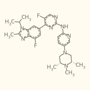 Cc1nc2c(F)cc(-c3nc(Nc4ccc(N5C[C@@H](C)N(C)[C@@H](C)C5)cn4)ncc3F)cc2n1C(C)C